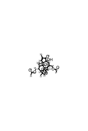 CC(=O)OCC1=C[C@H]2[C@@H]3C(C)(C)[C@]3(OC(C)=O)[C@H](COC(C)=O)[C@@H](C)[C@]2(O)[C@@H]2C=C(C)C(=O)[C@@]2(O)C1